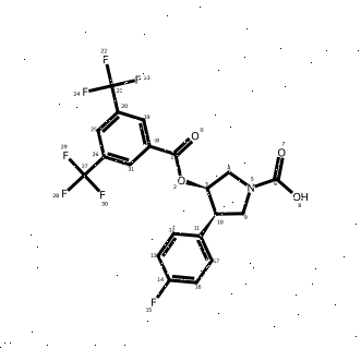 O=C(O[C@H]1CN(C(=O)O)C[C@H]1c1ccc(F)cc1)c1cc(C(F)(F)F)cc(C(F)(F)F)c1